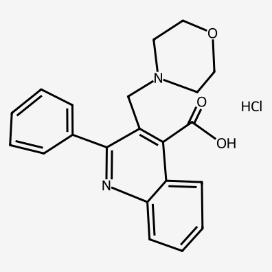 Cl.O=C(O)c1c(CN2CCOCC2)c(-c2ccccc2)nc2ccccc12